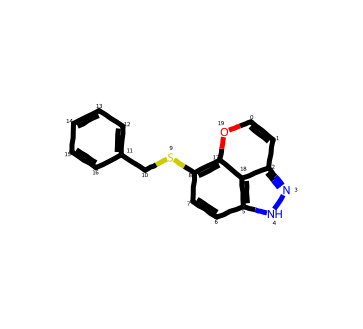 C1=Cc2n[nH]c3ccc(SCc4ccccc4)c(c23)O1